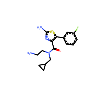 NCCN(CC1CC1)C(=O)c1nc(N)sc1-c1cccc(F)c1